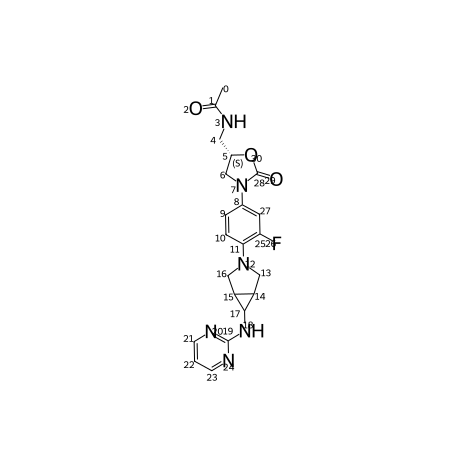 CC(=O)NC[C@H]1CN(c2ccc(N3CC4C(C3)C4Nc3ncccn3)c(F)c2)C(=O)O1